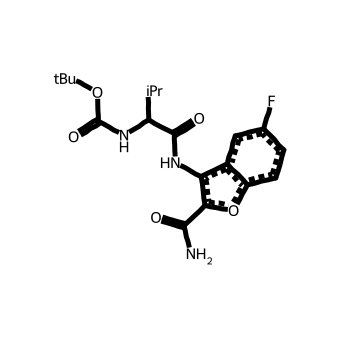 CC(C)C(NC(=O)OC(C)(C)C)C(=O)Nc1c(C(N)=O)oc2ccc(F)cc12